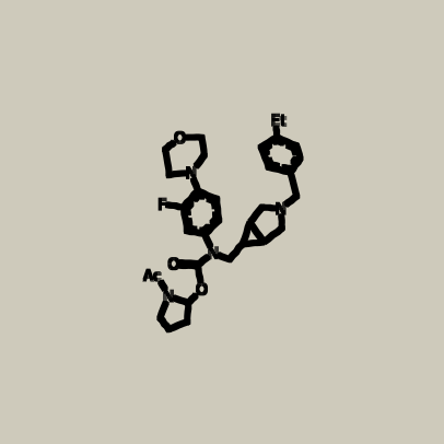 CCc1ccc(CN2CC3C(C2)C3CN(C(=O)OC2CCCN2C(C)=O)c2ccc(N3CCOCC3)c(F)c2)cc1